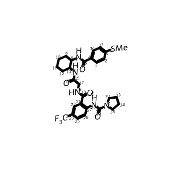 CSc1ccc(C(=O)NC2CCCCC2NC(=O)CNC(=O)c2cc(C(F)(F)F)ccc2NC(=O)N2CCCC2)cc1